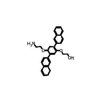 NCCOC1CC(c2ccc3ccccc3c2)=C(OCCO)C=C1c1ccc2c(c1)CCC=C2